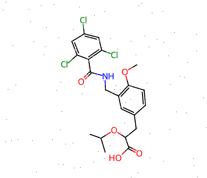 COc1ccc(CC(OC(C)C)C(=O)O)cc1CNC(=O)c1c(Cl)cc(Cl)cc1Cl